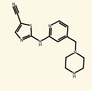 N#Cc1cnc(Nc2cc(CN3CCNCC3)ccn2)s1